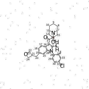 Cc1c(C(=O)CN2C3CCCC2CC(O)C3)c2ccc(CC3COC3)cc2n1-c1ccc(Cl)cc1